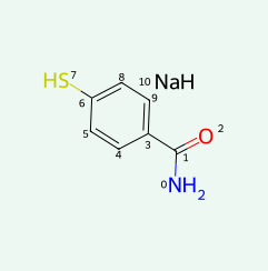 NC(=O)c1ccc(S)cc1.[NaH]